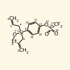 C=CC[Si](CC=C)(OCC)c1ccc(OS(=O)(=O)C(F)(F)F)cc1